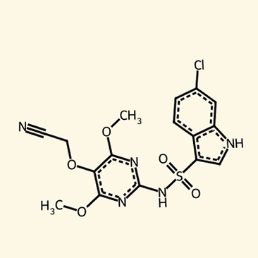 COc1nc(NS(=O)(=O)c2c[nH]c3cc(Cl)ccc23)nc(OC)c1OCC#N